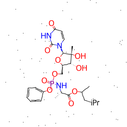 CC(C)CC(C)OC(=O)[C@H](C)N[P@](=O)(OC[C@H]1O[C@@H](n2ccc(=O)[nH]c2=O)[C@](C)(O)[C@@H]1O)Oc1ccccc1